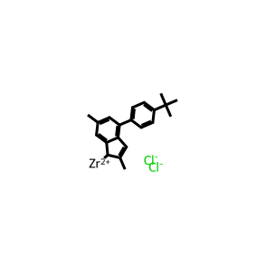 CC1=Cc2c(-c3ccc(C(C)(C)C)cc3)cc(C)cc2[CH]1[Zr+2].[Cl-].[Cl-]